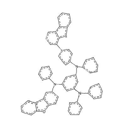 c1ccc(N(c2ccccc2)c2cc(N(c3ccccc3)c3ccc(-c4cccc5c4sc4ccccc45)cc3)cc(N(c3ccccc3)c3ccc4oc5ccccc5c4c3)c2)cc1